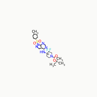 Cc1ccc(S(=O)(=O)n2ncc3c(N[C@@H]4CCN(C(=O)OC(C)(C)C)CC4(F)F)ncnc32)cc1